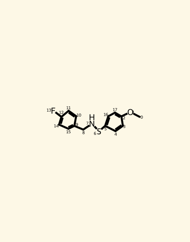 COc1ccc(SNCc2ccc(F)cc2)cc1